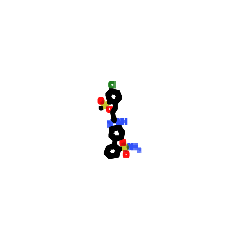 CS(=O)(=O)c1cc(Cl)ccc1CCc1nc2cc(-c3ccccc3S(N)(=O)=O)ccc2[nH]1